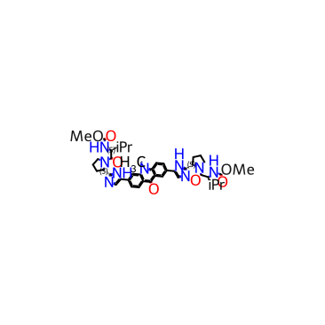 COC(=O)NC(C(=O)N1CCC[C@H]1c1ncc(-c2ccc3c(c2)c(=O)c2ccc(-c4cnc([C@@H]5CCCN5C(=O)[C@@H](NC(=O)OC)C(C)C)[nH]4)cc2n3C)[nH]1)C(C)C